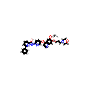 COc1cc2c(Oc3ccc(NC(=O)c4cccc(-c5ccccc5)n4)nc3)ccnc2cc1OCCCN1CCOCC1